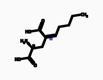 CCCC/C=C(/C[C@H](N)C(=O)O)C(=O)O